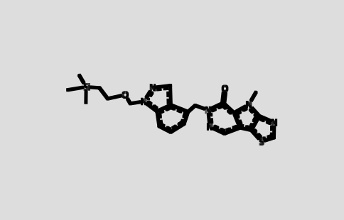 Cn1c2ncsc2c2cnn(Cc3cccc4c3cnn4COCC[Si](C)(C)C)c(=O)c21